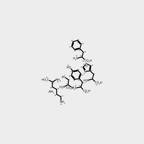 CC(C)CC(N)C(=O)O.N.NC(Cc1c[nH]cn1)C(=O)O.NC(Cc1ccc(O)cc1)C(=O)O.NC(Cc1ccccc1)C(=O)O.NCCCCC(N)C(=O)O